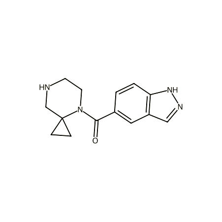 O=C(c1ccc2[nH]ncc2c1)N1CCNCC12CC2